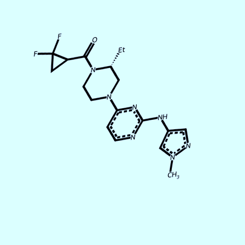 CC[C@@H]1CN(c2ccnc(Nc3cnn(C)c3)n2)CCN1C(=O)C1CC1(F)F